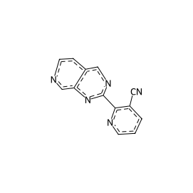 N#Cc1cccnc1-c1ncc2ccncc2n1